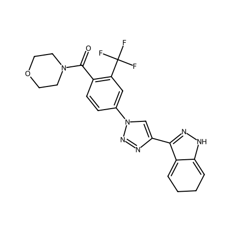 O=C(c1ccc(-n2cc(-c3n[nH]c4c3=CCCC=4)nn2)cc1C(F)(F)F)N1CCOCC1